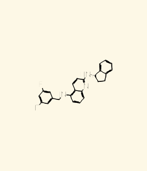 Fc1cc(F)cc(CNc2cccc3nc(N[C@@H]4CCc5ccccc54)ccc23)c1